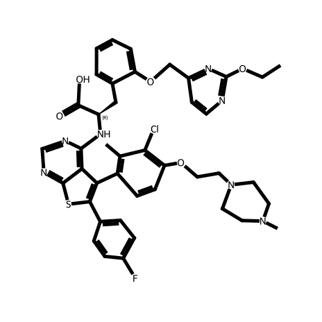 CCOc1nccc(COc2ccccc2C[C@@H](Nc2ncnc3sc(-c4ccc(F)cc4)c(-c4ccc(OCCN5CCN(C)CC5)c(Cl)c4C)c23)C(=O)O)n1